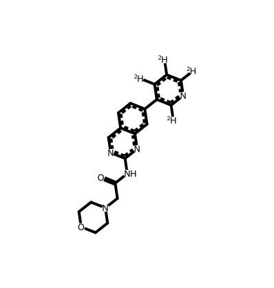 [2H]c1nc([2H])c(-c2ccc3cnc(NC(=O)CN4CCOCC4)nc3c2)c([2H])c1[2H]